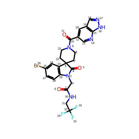 O=C(CN1C(=O)C2(CCN(C(=O)c3cnc4[nH]ncc4c3)CC2)c2cc(Br)ccc21)NCC(F)(F)F